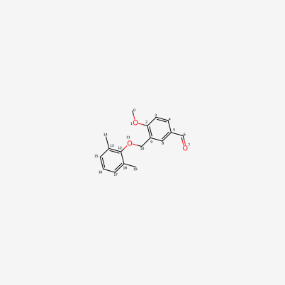 COc1ccc(C=O)cc1COc1c(C)cccc1C